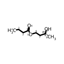 CCCC(=O)OCC[C@@H](C)O